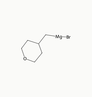 [Br][Mg][CH2]C1CCOCC1